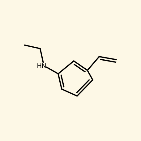 C=Cc1cccc(NCC)c1